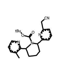 Cc1cccnc1C1CCCC(c2cccc(CC#N)n2)N1C(=O)OC(C)(C)C